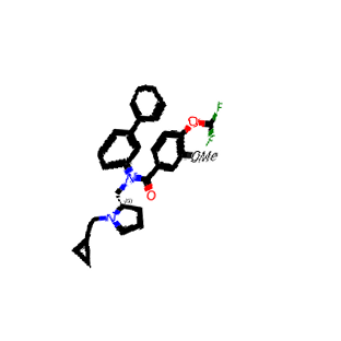 COc1cc(C(=O)N(C[C@@H]2CCCN2CC2CC2)c2cccc(-c3ccccc3)c2)ccc1OC(F)F